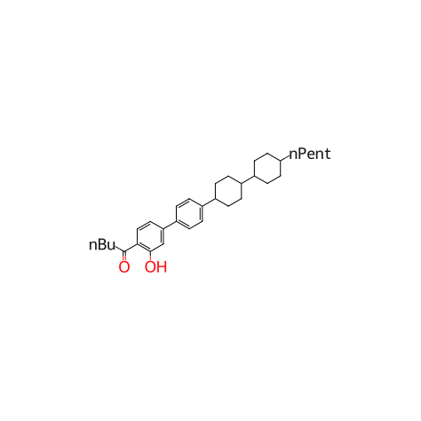 CCCCCC1CCC(C2CCC(c3ccc(-c4ccc(C(=O)CCCC)c(O)c4)cc3)CC2)CC1